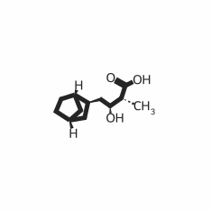 C[C@@H](C(=O)O)[C@H](O)C[C@H]1C[C@@H]2CC[C@H]1C2